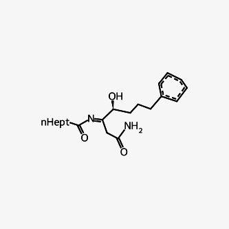 CCCCCCCC(=O)/N=C(\CC(N)=O)[C@@H](O)CCCc1ccccc1